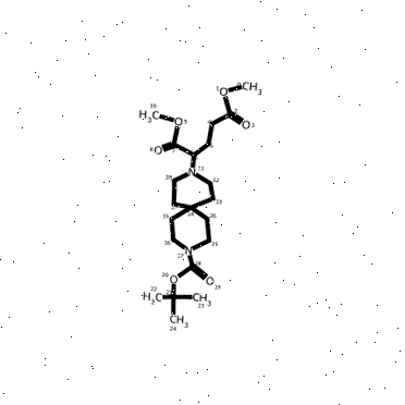 COC(=O)CCC(C(=O)OC)N1CCC2(CCN(C(=O)OC(C)(C)C)CC2)CC1